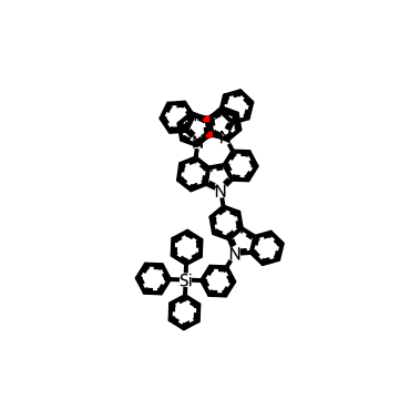 c1ccc([Si](c2ccccc2)(c2ccccc2)c2cccc(-n3c4ccccc4c4cc(-n5c6cccc(-n7c8ccccc8c8ccccc87)c6c6c(-n7c8ccccc8c8ccccc87)cccc65)ccc43)c2)cc1